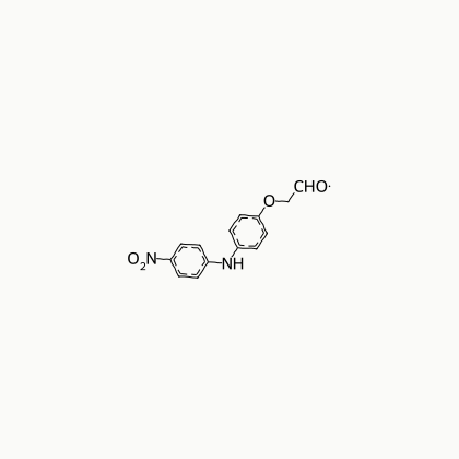 O=[C]COc1ccc(Nc2ccc([N+](=O)[O-])cc2)cc1